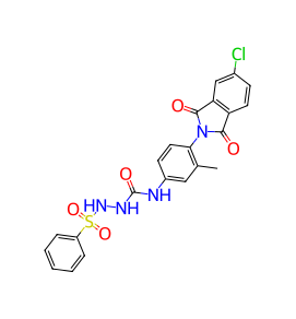 Cc1cc(NC(=O)NNS(=O)(=O)c2ccccc2)ccc1N1C(=O)c2ccc(Cl)cc2C1=O